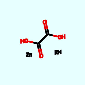 O=C(O)C(=O)O.[KH].[Zn]